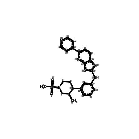 C[C@H]1CN(S(C)(=O)=O)CCN1c1ccnc(Nc2nc3ccc(-c4ccncc4)nc3s2)c1